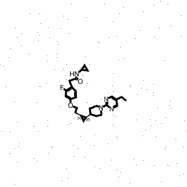 CCc1cnc(N2CCC([C@H]3C[C@H]3CCOc3ccc(CC(=O)NC4CC4)c(F)c3)CC2)nc1